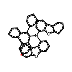 c1ccc(-c2c(N(c3cccc4c3oc3ccccc34)c3cccc4oc5ccccc5c34)c3ccccc3c3ccccc23)cc1